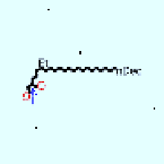 CCCCCCCCCCCCCCCCCCCCCCCCCCC(CC)CCCC1CC(=O)NC1=O